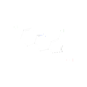 Oc1cc(Cl)c2nc3cc(Cl)ccc3cc2c1